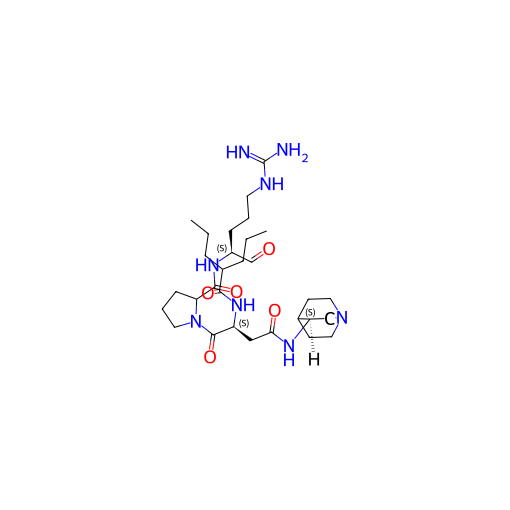 CCCC(CCC)C(=O)N[C@@H](CC(=O)N[C@@H]1CN2CCC1CC2)C(=O)N1CCCC1C(=O)N[C@H](C=O)CCCNC(=N)N